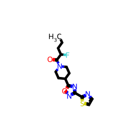 CCCC(F)C(=O)N1CCC(c2nc(-c3nccs3)no2)CC1